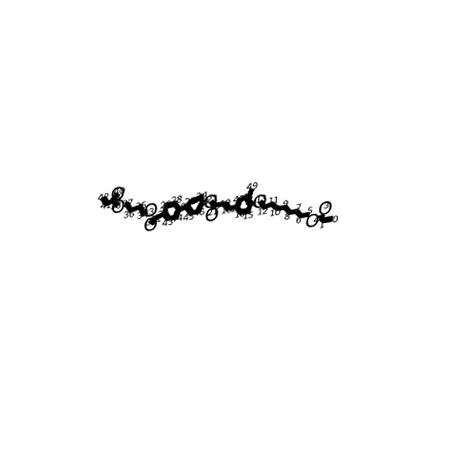 C=CC(=O)OCCCCCCCCOc1ccc(/C=C/C(=O)Oc2ccc(-c3ccc(C(=O)OCCCCOC(=O)C=C)cc3)cc2)cc1C